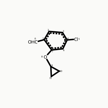 O=Cc1ccc(Cl)cc1OC1CC1